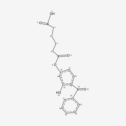 O=C(O)CCCCC(=O)Oc1ccc(C(=O)c2ccccc2)c(O)c1